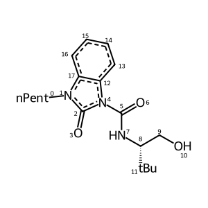 CCCCCn1c(=O)n(C(=O)N[C@H](CO)C(C)(C)C)c2ccccc21